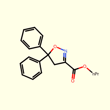 CCCOC(=O)C1=NOC(c2ccccc2)(c2ccccc2)C1